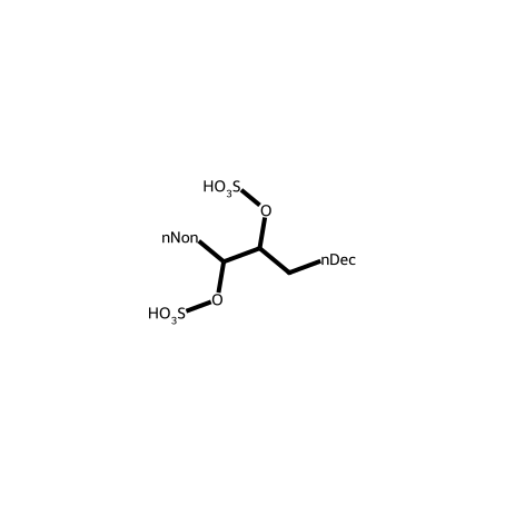 CCCCCCCCCCCC(OS(=O)(=O)O)C(CCCCCCCCC)OS(=O)(=O)O